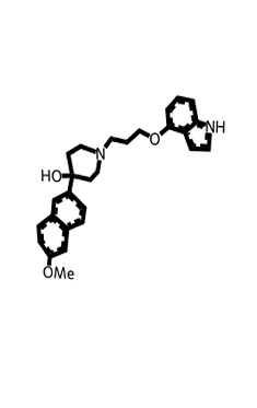 COc1ccc2cc(C3(O)CCN(CCCOc4cccc5[nH]ccc45)CC3)ccc2c1